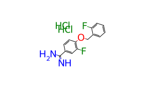 Cl.Cl.N=C(N)c1ccc(OCc2ccccc2F)c(F)c1